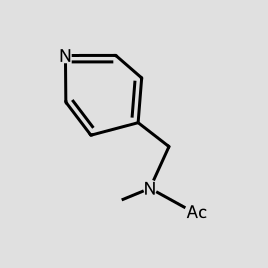 CC(=O)N(C)Cc1ccncc1